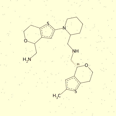 Cc1cc2c(s1)CCO[C@H]2CNCC1CCCCN1c1cc2c(s1)CCOC2CN